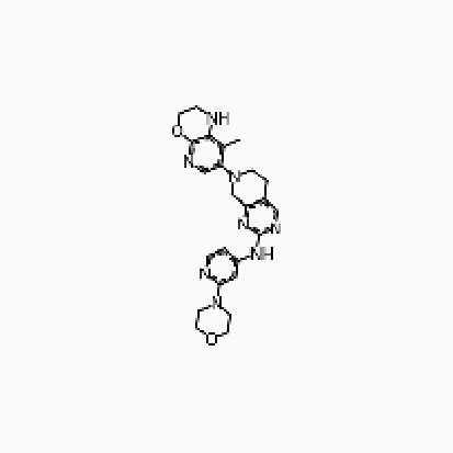 Cc1c(N2CCc3cnc(Nc4ccnc(N5CCOCC5)c4)nc3C2)cnc2c1NCCO2